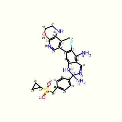 Cc1c(-c2cc3c(c(N)c2F)C=NC(N)(c2ccc(CS(=O)(=O)C4CC4)cc2)N3)cnc2c1NCCO2